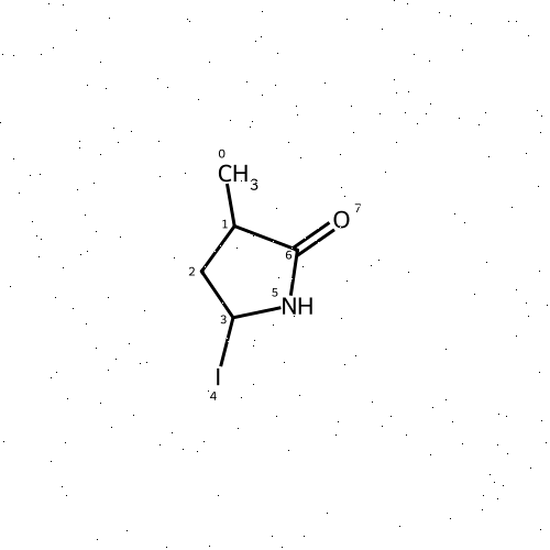 CC1CC(I)NC1=O